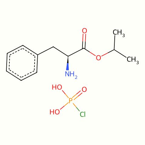 CC(C)OC(=O)[C@@H](N)Cc1ccccc1.O=P(O)(O)Cl